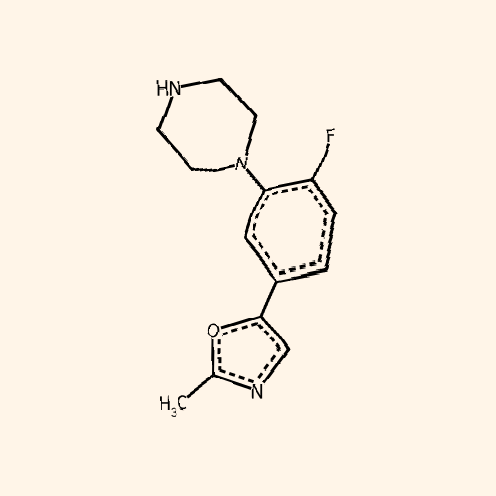 Cc1ncc(-c2ccc(F)c(N3CCNCC3)c2)o1